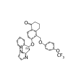 O=C1CCCc2c1ccc(O[C@@H](Cc1ncc[nH]1)c1ccccc1)c2COc1ccc(OC(F)(F)F)cc1